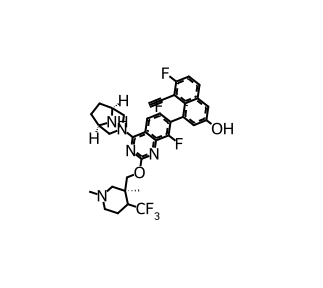 C#Cc1c(F)ccc2cc(O)cc(-c3c(F)cc4c(N5C[C@H]6CC[C@@H](C5)N6)nc(OC[C@]5(C)CN(C)CCC5C(F)(F)F)nc4c3F)c12